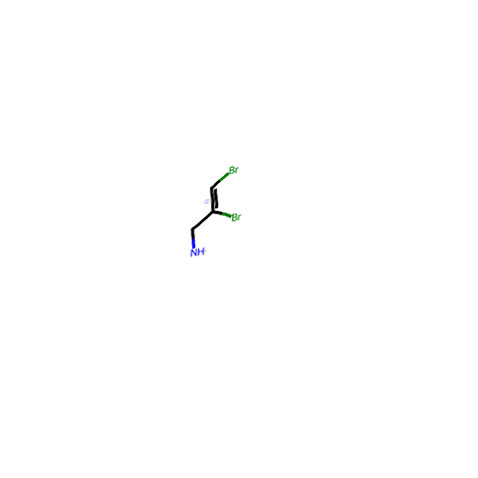 [NH]C/C(Br)=C/Br